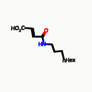 CCCCCCCCCNC(=O)/C=C/C(=O)O